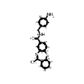 Nc1ccc(CNC(=O)c2ccc3c(c2)N=C(Cl)c2ccccc2S3)cc1